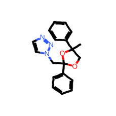 CC1(c2ccccc2)COC(Cn2ccnn2)(c2ccccc2)O1